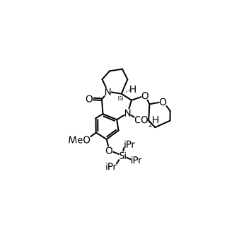 COc1cc2c(cc1O[Si](C(C)C)(C(C)C)C(C)C)N(C(=O)O)C(OC1CCCCO1)[C@@H]1CCCCN1C2=O